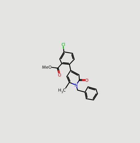 COC(=O)c1cc(Cl)ccc1-c1cc(C)n(Cc2ccccc2)c(=O)c1